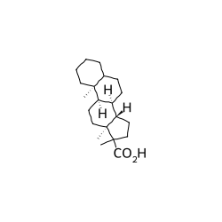 CC1(C(=O)O)CC[C@H]2[C@@H]3CCC4CCCC[C@]4(C)[C@@H]3CC[C@@]21C